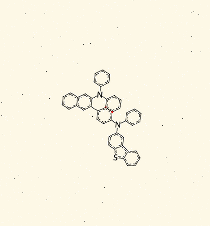 c1ccc(N(c2ccc(-c3cc4ccccc4cc3N(c3ccccc3)c3ccccc3)cc2)c2ccc3sc4ccccc4c3c2)cc1